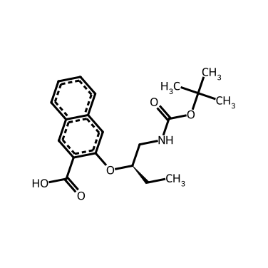 CC[C@H](CNC(=O)OC(C)(C)C)Oc1cc2ccccc2cc1C(=O)O